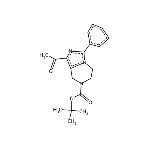 CC(=O)c1nc(-c2ccccc2)n2c1CN(C(=O)OC(C)(C)C)CC2